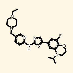 CCN1CCN(Cc2ccc(Nc3ncc(-c4cc(F)c5c(c4)N(C(C)C)CCO5)s3)nc2)CC1